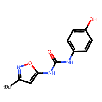 CC(C)(C)c1cc(NC(=O)Nc2ccc(O)cc2)on1